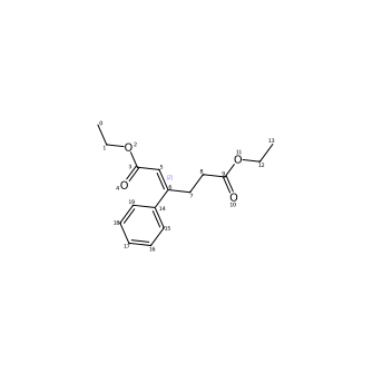 CCOC(=O)/C=C(/CCC(=O)OCC)c1ccccc1